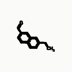 CCc1ccc2ccc(C=O)cc2c1